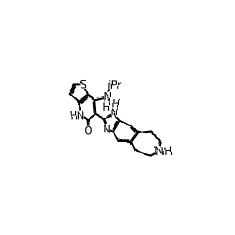 CC(C)Nc1c(-c2nc3cc4c(cc3[nH]2)CCNCC4)c(=O)[nH]c2ccsc12